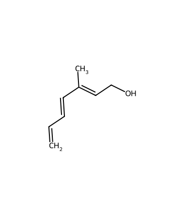 C=CC=CC(C)=CCO